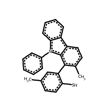 Cc1ccc(S)c(-c2c(C)ccc3c4ccccc4n(-c4ccccc4)c23)c1